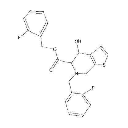 O=C(OCc1ccccc1F)C1C(O)c2ccsc2CN1Cc1ccccc1F